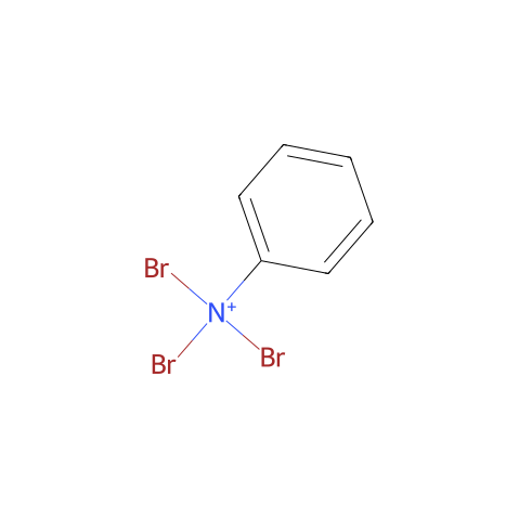 Br[N+](Br)(Br)c1ccccc1